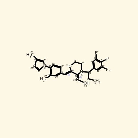 CCC(c1cc(F)c(F)c(F)c1)N1CCOC(=C\c2ccc(-n3cnc(C)c3)c(C)c2)/C1=N/O